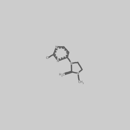 C=C1N(C)CCN1c1ccnc(Cl)n1